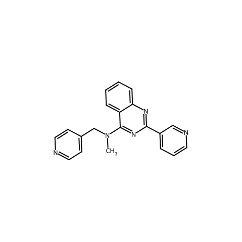 CN(Cc1ccncc1)c1nc(-c2cccnc2)nc2ccccc12